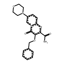 NC(=O)c1nc2ccc(N3CCOCC3)cn2c(=O)c1OCc1ccccc1